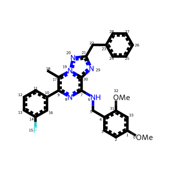 COc1ccc(CNc2nc(-c3cccc(F)c3)c(C)n3nc(Cc4ccccc4)nc23)c(OC)c1